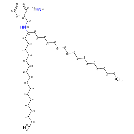 CCCCCCCCCCCCCCCCCCC(CCCCCCCCCCCCCCCCC)NCc1ccccc1C#N